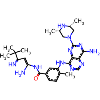 Cc1ccc(C(=O)N/C(N)=C/C(=N)C(C)(C)C)cc1Nc1ncnc2c(N)nc(N3C[C@@H](C)N[C@@H](C)C3)nc12